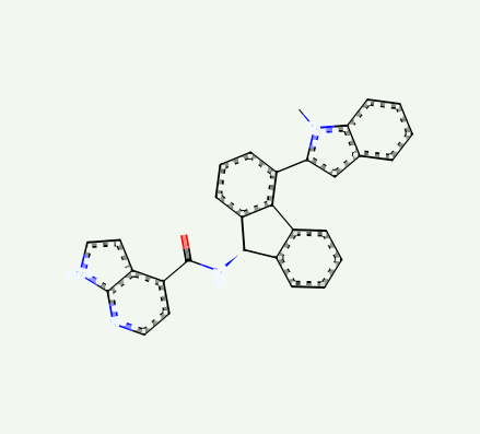 O=C(N[C@@H]1c2ccccc2-c2c(-c3cc4ccccc4n3C(=O)O)cccc21)c1ccnc2[nH]ccc12